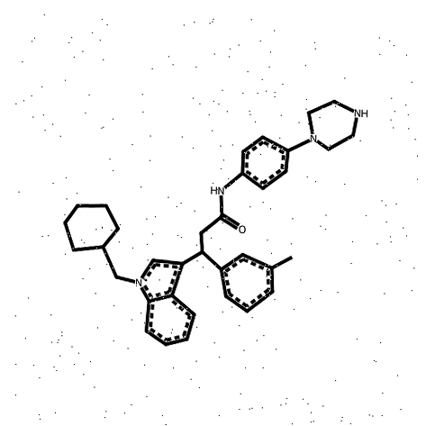 Cc1cccc(C(CC(=O)Nc2ccc(N3CCNCC3)cc2)c2cn(CC3CCCCC3)c3ccccc23)c1